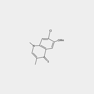 COc1cc2c(=S)c(C)cn(C)c2cc1Cl